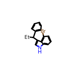 [CH2]CC(c1ccccc1)c1c[nH]c2cccc(Br)c12